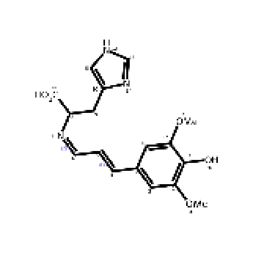 COc1cc(/C=C/C=N\C(Cc2c[nH]cn2)C(=O)O)cc(OC)c1O